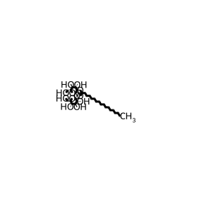 CCCCCCCCCCCCCCCCCC(=O)O[C@H]1[C@@H](O[C@H]2O[C@H](CO)[C@@H](O)[C@H](O)[C@H]2O)O[C@H](CO)[C@@H](O)[C@@H]1O